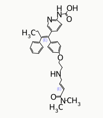 CC/C(=C(/c1ccc(OCCNC/C=C/C(=O)N(C)C)cc1)c1ccc(NC(=O)O)nc1)c1ccccc1